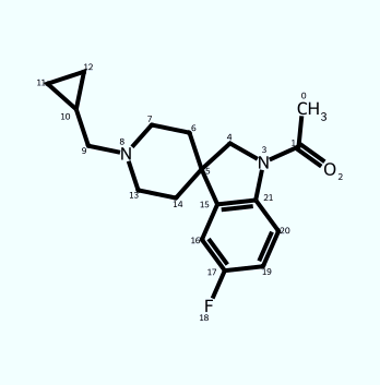 CC(=O)N1CC2(CCN(CC3CC3)CC2)c2cc(F)ccc21